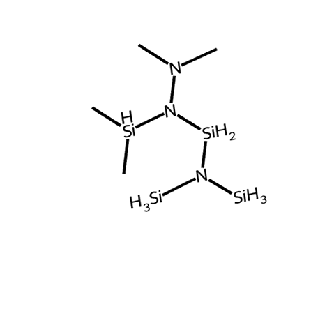 CN(C)N([SiH2]N([SiH3])[SiH3])[SiH](C)C